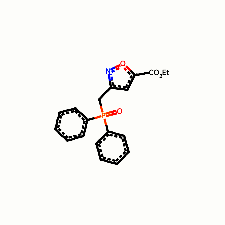 CCOC(=O)c1cc(CP(=O)(c2ccccc2)c2ccccc2)no1